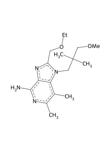 CCOCc1nc2c(N)nc(C)c(C)c2n1CC(C)(C)COC